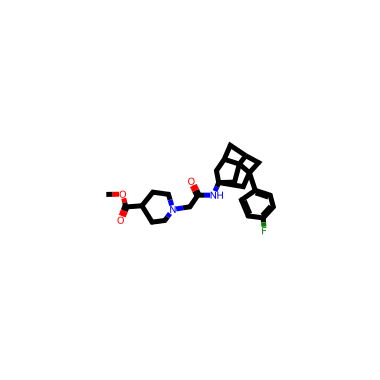 COC(=O)C1CCN(CC(=O)NC23CC4CC5CC(c6ccc(F)cc6)(C2)C45C3)CC1